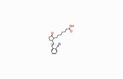 N#Cc1ccccc1/C=C/C1CCC(=O)C1CCCCCCC(=O)O